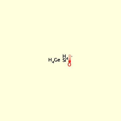 [B]=O.[GeH4].[SiH4]